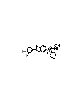 C=S(=O)(c1ccc2nc(-c3ccc(F)c(F)c3)sc2c1)C1(C(=O)NO)CCOCC1